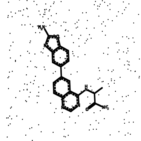 CC(Nc1ncnc2ccc(-c3ccc4oc(N)nc4c3)cc12)C(N)=O